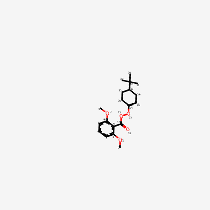 COc1cccc(OC)c1C(=O)OO[C]1CCC(C(C)(C)C)CC1